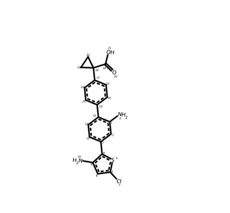 Nc1cc(-c2sc(Cl)cc2N)ccc1-c1ccc(C2(C(=O)O)CC2)cc1